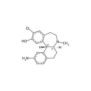 CN1CCc2cc(Cl)c(O)cc2[C@H]2c3cc(N)ccc3CC[C@@H]21